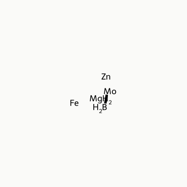 [BH2][Mo].[Fe].[MgH2].[Zn]